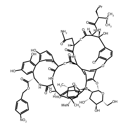 CN[C@@]1(C)C[C@H](O[C@H]2[C@H](Oc3c4cc5cc3Oc3ccc(cc3Cl)[C@@H](O)[C@@H](NC(=O)[C@@H](CC(C)C)N(C)C)C(=O)C[C@@H](CC(N)=O)C(=O)N[C@H]5C(=O)C[C@H]3C(=O)N[C@H](C(=O)N[C@H](C(=O)OCc5ccc([N+](=O)[O-])cc5)c5cc(O)cc(O)c5-c5cc3ccc5O)[C@H](O)c3ccc(c(Cl)c3)O4)O[C@H](CO)[C@@H](O)[C@@H]2O)O[C@@H](C)[C@H]1O